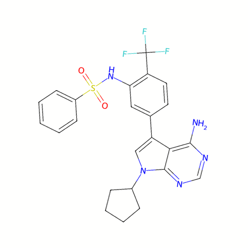 Nc1ncnc2c1c(-c1ccc(C(F)(F)F)c(NS(=O)(=O)c3ccccc3)c1)cn2C1CCCC1